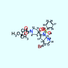 CC(C)(C)OC(=O)N1CCC(O)(c2cc3c(Br)ccnc3n2S(=O)(=O)c2ccccc2)CC1